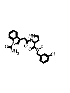 NC(=O)n1cc(CC(=O)N2NCCC2C(=O)N(F)Cc2cccc(Cl)c2)c2ccccc21